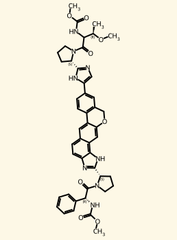 COC(=O)NC(C(=O)N1CCC[C@H]1c1ncc(-c2ccc3c(c2)COc2cc4c(ccc5nc([C@@H]6CCCN6C(=O)[C@H](NC(=O)OC)c6ccccc6)[nH]c54)cc2-3)[nH]1)[C@@H](C)OC